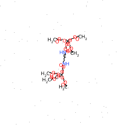 C=CC(=O)OCCOCC(COCCOC(=O)C=C)(COCCOC(=O)C=C)COCCOC(=O)NCCCCCCNC(=O)OCCOCC(COCCOC(=O)C=C)(COCCOC(=O)C=C)COCCOC(=O)C=C